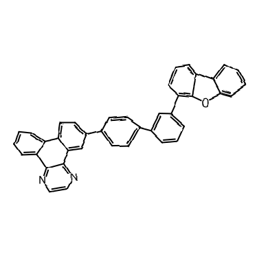 c1cc(-c2ccc(-c3ccc4c5ccccc5c5nccnc5c4c3)cc2)cc(-c2cccc3c2oc2ccccc23)c1